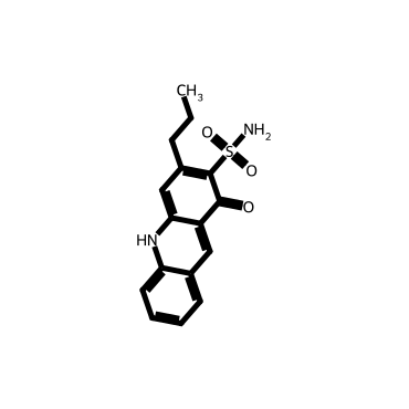 CCCc1cc2[nH]c3ccccc3cc-2c(=O)c1S(N)(=O)=O